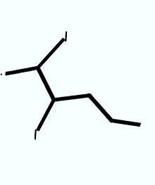 [CH2]C(I)C(I)CCC